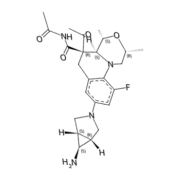 CC(=O)NC(=O)[C@]1(C(C)=O)Cc2cc(N3C[C@@H]4[C@@H](N)[C@@H]4C3)cc(F)c2N2C[C@@H](C)O[C@@H](C)[C@@H]21